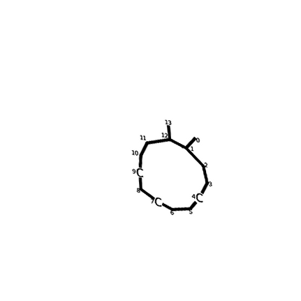 C[C]1CCCCCCCCCCC1C